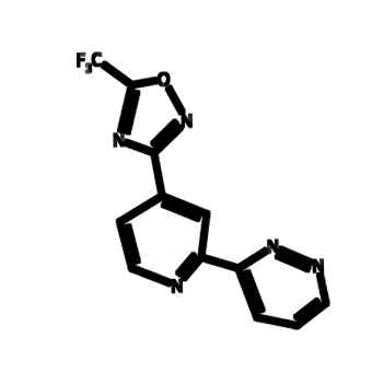 FC(F)(F)c1nc(-c2ccnc(-c3cccnn3)c2)no1